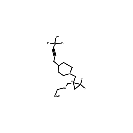 COCOC[C@]1(CN2CCC(CC#C[Si](C(C)C)(C(C)C)C(C)C)CC2)CC1(F)F